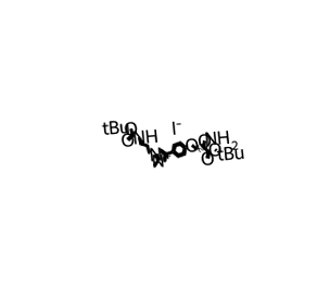 C[n+]1cc(-c2ccc(OC[C@H](ON)C(=O)OC(C)(C)C)cc2)cn1CCCNC(=O)OC(C)(C)C.[I-]